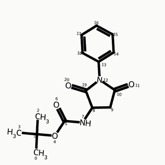 CC(C)(C)OC(=O)NC1CC(=O)N(c2ccccc2)C1=O